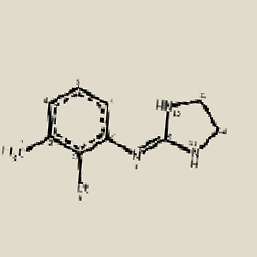 CCc1c(C)cccc1N=C1NCCN1